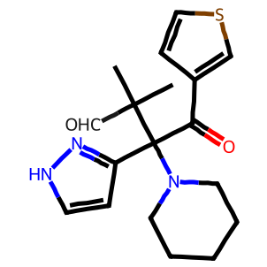 CC(C)(C=O)C(C(=O)c1ccsc1)(c1cc[nH]n1)N1CCCCC1